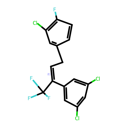 Fc1ccc(C/C=C(\c2cc(Cl)cc(Cl)c2)C(F)(F)F)cc1Cl